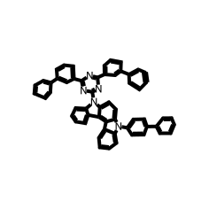 c1ccc(-c2cccc(-c3nc(-c4cccc(-c5ccccc5)c4)nc(-n4c5ccccc5c5c6c7ccccc7n(-c7ccc(-c8ccccc8)cc7)c6ccc54)n3)c2)cc#1